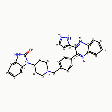 O=c1[nH]c2ccccc2n1C1CCN(Cc2ccc(-c3nc4ccccc4nc3-c3ccn[nH]3)cc2)CC1